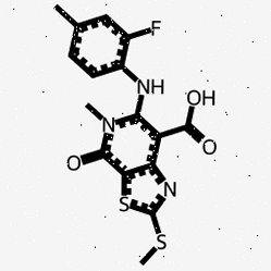 CSc1nc2c(C(=O)O)c(Nc3ccc(C)cc3F)n(C)c(=O)c2s1